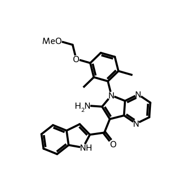 COCOc1ccc(C)c(-n2c(N)c(C(=O)c3cc4ccccc4[nH]3)c3nccnc32)c1C